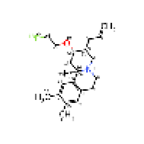 C=CC[C@H]1CN2CCc3cc(C)c(C)cc3[C@@H]2C[C@@H]1OCC[18F]